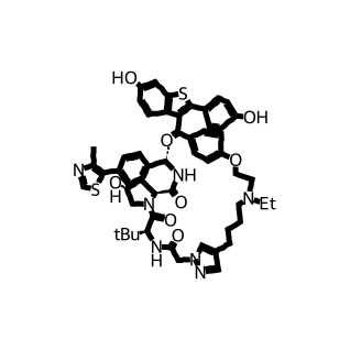 CCN(CCCCc1cnn(CC(=O)N[C@H](C(=O)N2C[C@H](O)C[C@H]2C(=O)N[C@@H](C)c2ccc(-c3scnc3C)cc2)C(C)(C)C)c1)CCOc1ccc(C(=O)c2c(-c3ccc(O)cc3)sc3cc(O)ccc23)cc1